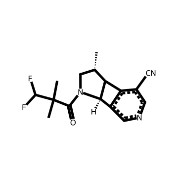 C[C@H]1CN(C(=O)C(C)(C)C(F)F)[C@@H]2c3cncc(C#N)c3C21